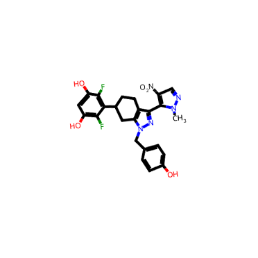 Cn1ncc([N+](=O)[O-])c1-c1nn(Cc2ccc(O)cc2)c2c1CCC(c1c(F)c(O)cc(O)c1F)C2